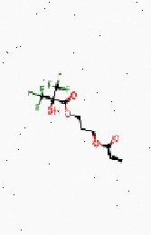 C=CC(=O)OCCCOC(=O)C(O)(C(F)(F)F)C(F)(F)F